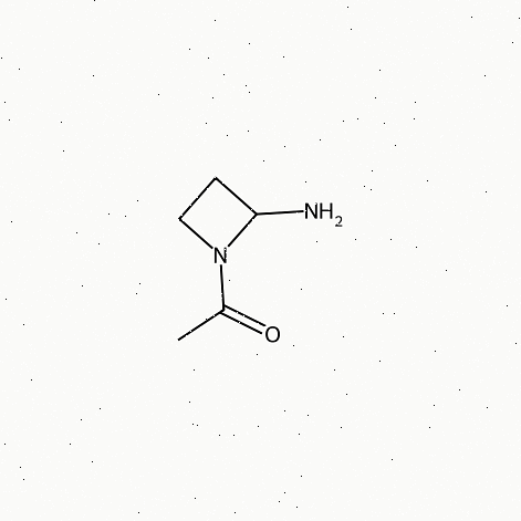 CC(=O)N1CCC1N